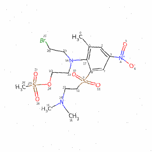 Cc1cc([N+](=O)[O-])cc(S(=O)(=O)CCN(C)C)c1N(CCBr)CCOS(C)(=O)=O